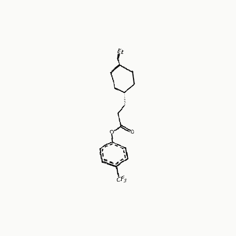 CC[C@H]1CC[C@H](CCC(=O)Oc2ccc(C(F)(F)F)cc2)CC1